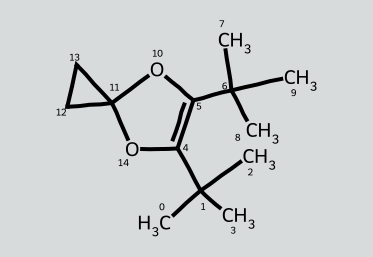 CC(C)(C)C1=C(C(C)(C)C)OC2(CC2)O1